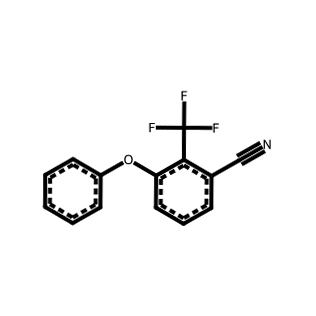 N#Cc1cccc(Oc2ccccc2)c1C(F)(F)F